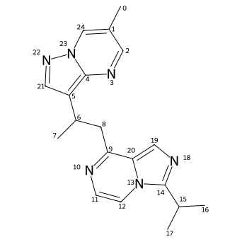 Cc1cnc2c(C(C)Cc3nccn4c(C(C)C)ncc34)cnn2c1